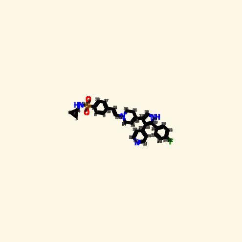 O=S(=O)(NC1CC1)c1ccc(C=CN2CC=C(c3c[nH]c(-c4ccc(F)cc4)c3-c3ccncc3)CC2)cc1